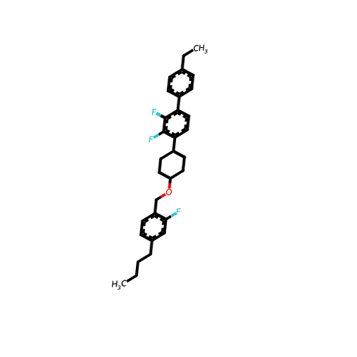 CCCCc1ccc(COC2CCC(c3ccc(-c4ccc(CC)cc4)c(F)c3F)CC2)c(F)c1